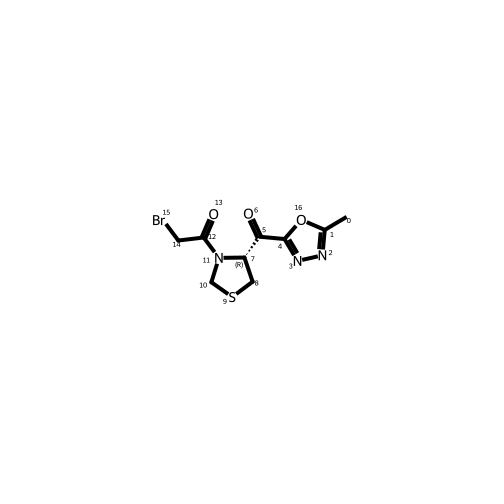 Cc1nnc(C(=O)[C@@H]2CSCN2C(=O)CBr)o1